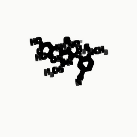 CSc1nc(NC(CC(=O)O)C(=O)O)c([N+](=O)[O-])c(Oc2cc(C#N)ccc2N(C)C)n1